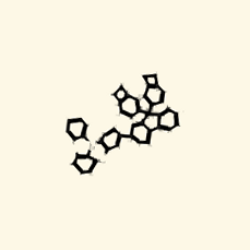 c1ccc2c(c1)Oc1cccc3c1N2c1ccc(-c2ccc4c(c2)C(c2ccc5c(c2)CC5)(c2ccc5c(c2)CC5)c2ccccc2-4)cc1O3